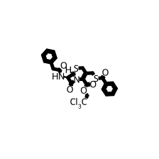 O=C(Cc1ccccc1)N[C@@H]1C(=O)N2C(C(=O)OCC(Cl)(Cl)Cl)=C(CSC(=O)c3ccccc3)CS[C@H]12